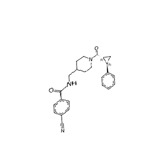 N#Cc1ccc(C(=O)NCC2CCN(C(=O)[C@@H]3C[C@H]3c3ccccc3)CC2)cc1